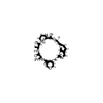 CC1NC(=O)C(C(C)C)NC(=O)C2(CCOCC2)CCc2cc3cc(ccc3cn2)[C@@H](C)OC(=O)[C@@H]2CCCN(N2)C1=O